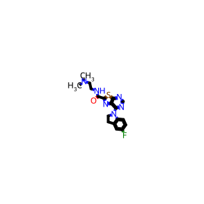 CN(C)CCNC(=O)c1nc2c(N3CCc4cc(F)ccc43)ncnc2s1